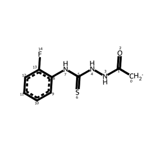 [CH2]C(=O)NNC(=S)Nc1ccccc1F